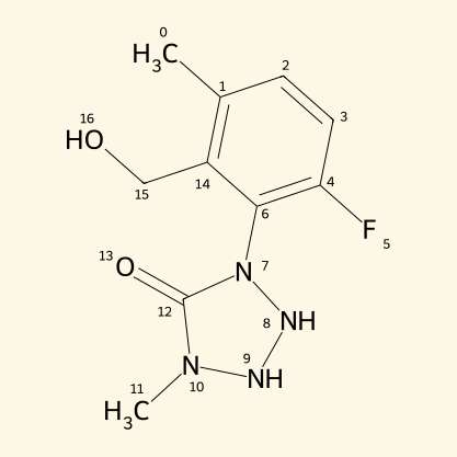 Cc1ccc(F)c(N2NNN(C)C2=O)c1CO